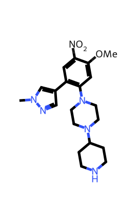 COc1cc(N2CCN(C3CCNCC3)CC2)c(-c2cnn(C)c2)cc1[N+](=O)[O-]